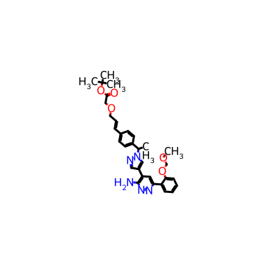 COCOc1ccccc1-c1cc(-c2cnn(C(C)c3ccc(/C=C/COCC(=O)OC(C)(C)C)cc3)c2)c(N)nn1